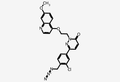 COc1ccc2c(OCCn3nc(-c4ccc(CN=[N+]=[N-])c(Cl)c4)ccc3=O)ccnc2c1